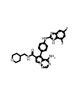 Nc1ncnn2cc(C(=O)NCC3CCOCC3)c(-c3ccc(Nc4nc5cc(F)cc(F)c5[nH]4)cc3)c12